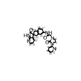 O=C(CN1CCN(c2ccccn2)C1=O)Nc1ccc2c(c1)CC1(C2)C(=O)Nc2ncccc21